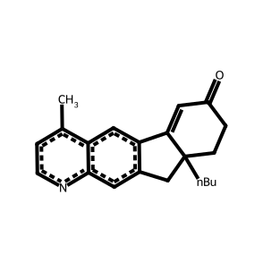 CCCCC12CCC(=O)C=C1c1cc3c(C)ccnc3cc1C2